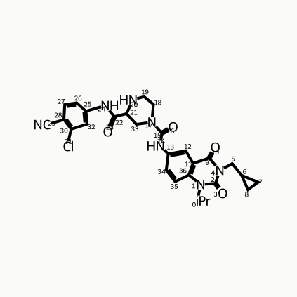 CC(C)n1c(=O)n(CC2CC2)c(=O)c2cc(NC(=O)N3CCNC(C(=O)Nc4ccc(C#N)c(Cl)c4)C3)ccc21